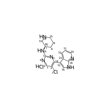 Cl.Clc1cnc(N[C@@H]2CCCNC2)nc1-c1c[nH]c2ncccc12